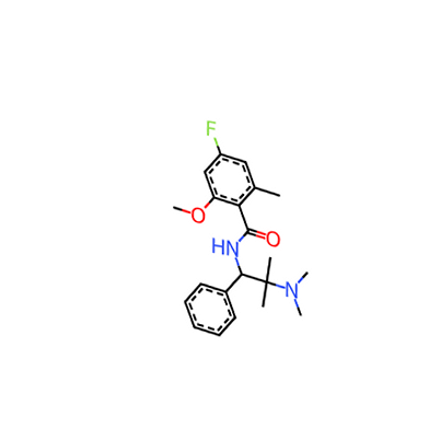 COc1cc(F)cc(C)c1C(=O)NC(c1ccccc1)C(C)(C)N(C)C